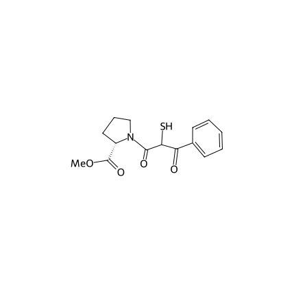 COC(=O)[C@@H]1CCCN1C(=O)C(S)C(=O)c1ccccc1